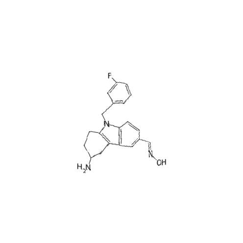 NC1CCc2c(c3cc(C=NO)ccc3n2Cc2cccc(F)c2)C1